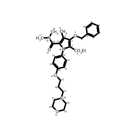 CCOC(=O)c1c(OCc2ccccc2)c(C)c(C(=O)N(C)C)n1-c1ccc(OCCCN2CCOCC2)cc1